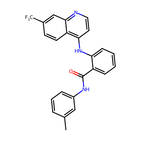 Cc1cccc(NC(=O)c2ccccc2Nc2ccnc3cc(C(F)(F)F)ccc23)c1